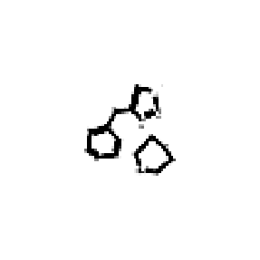 C1CCNCC1.c1ccc(Cc2conn2)cc1